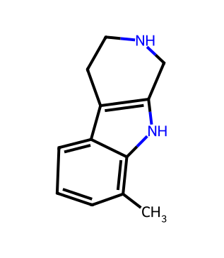 Cc1cccc2c3c([nH]c12)CNCC3